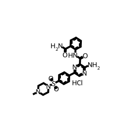 CN1CCN(S(=O)(=O)c2ccc(-c3cnc(N)c(C(=O)Nc4ccccc4C(N)=O)n3)cc2)CC1.Cl